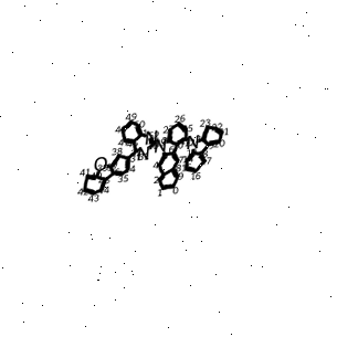 c1ccc2cc3c(cc2c1)c1c(-n2c4ccccc4c4ccccc42)cccc1n3-c1nc(-c2ccc3c(c2)oc2ccccc23)c2ccccc2n1